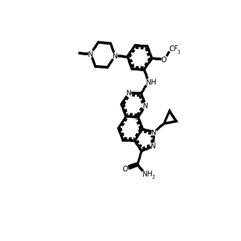 CN1CCN(c2ccc(OC(F)(F)F)c(Nc3ncc4ccc5c(C(N)=O)nn(C6CC6)c5c4n3)c2)CC1